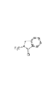 O=C1c2ccccc2CC1C(F)(F)F